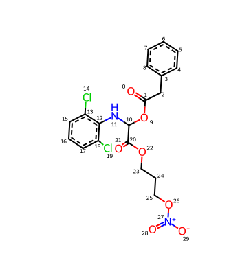 O=C(Cc1ccccc1)OC(Nc1c(Cl)cccc1Cl)C(=O)OCCCO[N+](=O)[O-]